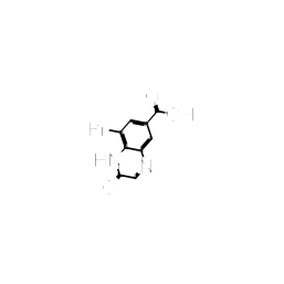 O=C(O)c1cc(Br)c2[nH]c(=O)cnc2c1